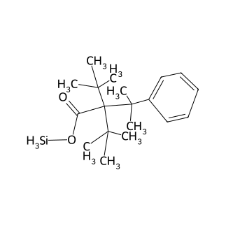 CC(C)(C)C(C(=O)O[SiH3])(C(C)(C)C)C(C)(C)c1ccccc1